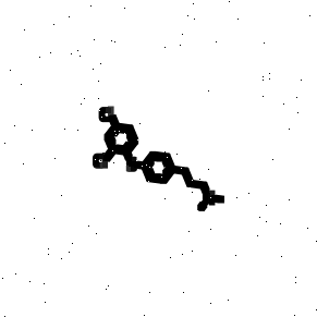 CN(C)CCCc1ccc(Sc2ccc(Cl)cc2Cl)cc1